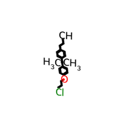 C#CCCc1ccc(C(C)(C)c2ccc(OCCCCl)cc2)cc1